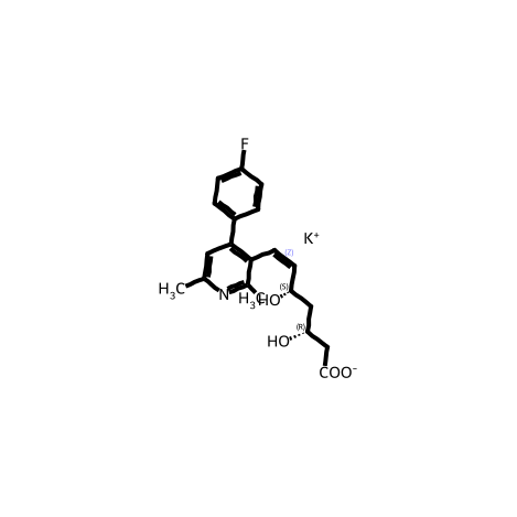 Cc1cc(-c2ccc(F)cc2)c(/C=C\[C@@H](O)C[C@@H](O)CC(=O)[O-])c(C)n1.[K+]